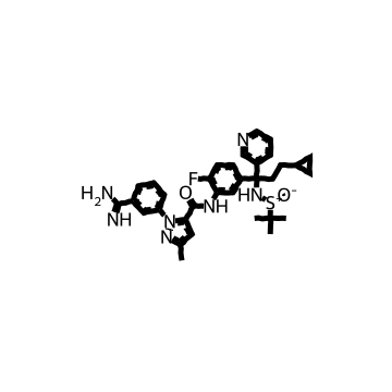 Cc1cc(C(=O)Nc2cc(C(CCC3CC3)(N[S@+]([O-])C(C)(C)C)c3cccnc3)ccc2F)n(-c2cccc(C(=N)N)c2)n1